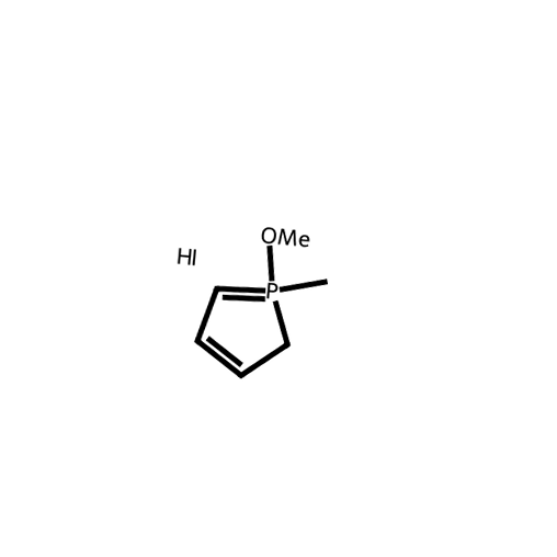 COP1(C)=CC=CC1.I